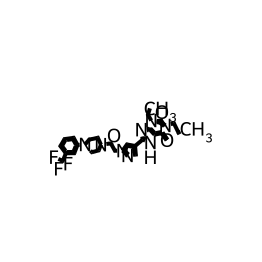 CCCn1c(=O)c2[nH]c(-c3cnn(CC(=O)N4CCN(c5cccc(C(F)(F)F)c5)CC4)c3)nc2n(CC)c1=O